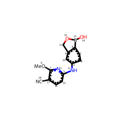 COc1nc(Nc2ccc3c(c2)COB3O)ccc1C#N